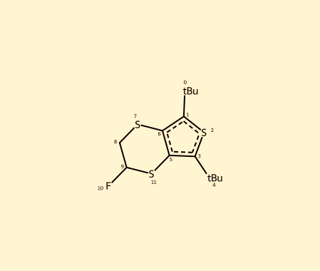 CC(C)(C)c1sc(C(C)(C)C)c2c1SCC(F)S2